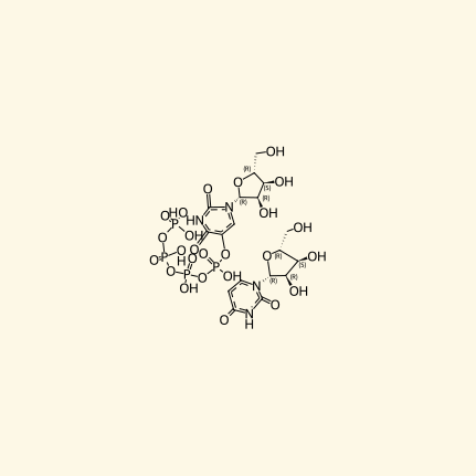 O=c1[nH]c(=O)n([C@@H]2O[C@H](CO)[C@@H](O)[C@H]2O)cc1OP(=O)(O)OP(=O)(O)OP(=O)(O)OP(=O)(O)O.O=c1ccn([C@@H]2O[C@H](CO)[C@@H](O)[C@H]2O)c(=O)[nH]1